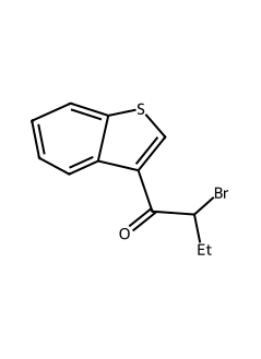 CCC(Br)C(=O)c1csc2ccccc12